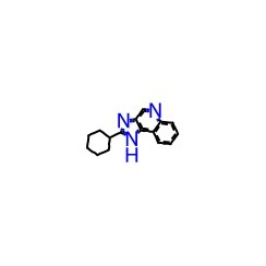 c1ccc2c(c1)ncc1nc(C3CCCCC3)[nH]c12